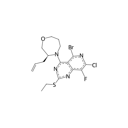 C=CC[C@H]1COCCCN1c1nc(SCC)nc2c(F)c(Cl)nc(Br)c12